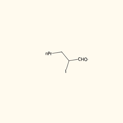 CCCCC(I)[C]=O